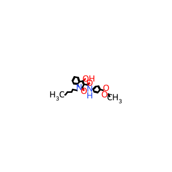 CCCCCCn1c(=O)c(C(=O)Nc2ccc(C(=O)OCC)cc2)c(O)c2ccccc21